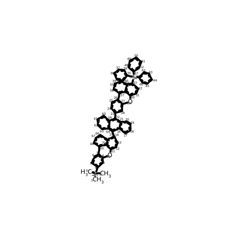 C[Si](C)(C)c1ccc2c(c1)Oc1ccc(-c3c4ccccc4c(-c4ccc5c(c4)Oc4ccc([Si](c6ccccc6)(c6ccccc6)c6ccccc6)c6cccc-5c46)c4ccccc34)c3cccc-2c13